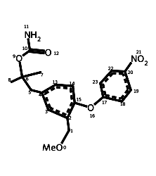 COCc1cc(CC(C)(C)OC(N)=O)ccc1Oc1ccc([N+](=O)[O-])cc1